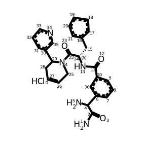 Cl.NC(=O)C(N)c1cccc(C(=O)N[C@@H](Cc2ccccc2)C(=O)N2CC=CCC2c2cccnc2)c1